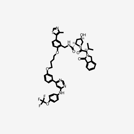 Cc1ncsc1-c1ccc(OCCCCOc2cccc(-c3cc(Nc4ccc(OC(F)(F)F)cc4)ncn3)c2)c(CNC(=O)[C@@H]2C[C@@H](O)CN2C(=O)[C@H](C(C)C)N2Cc3ccccc3C2=O)c1